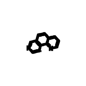 [c]1cncc2ccc3cccnc3c12